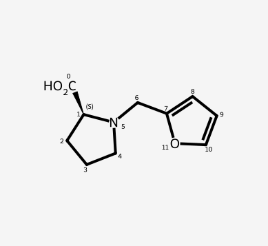 O=C(O)[C@@H]1CCCN1Cc1ccco1